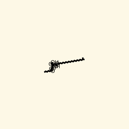 CCCCCC(=O)OC(=O)CC(O)(CC(=O)OCCCCCCCCCCCCCCCCCC(C)C)C(=O)O